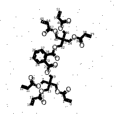 C=CC(=O)OCC(COC(=O)C=C)(COC(=O)C=C)COC(=O)c1ccccc1C(=O)OCC(COC(=O)C=C)(COC(=O)C=C)COC(=O)C=C